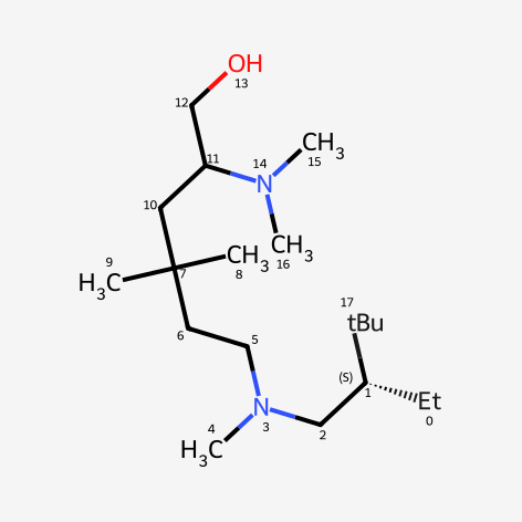 CC[C@H](CN(C)CCC(C)(C)CC(CO)N(C)C)C(C)(C)C